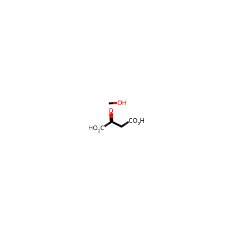 CO.O=C(O)CC(=O)C(=O)O